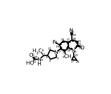 Cc1c(N2CCC([C@H](C)NC(=O)O)C2)c(F)cc2c(C#N)cc(=O)n(C3CC3)c12